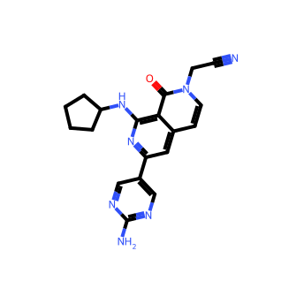 N#CCn1ccc2cc(-c3cnc(N)nc3)nc(NC3CCCC3)c2c1=O